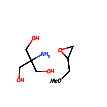 COCC1CO1.NC(CO)(CO)CO